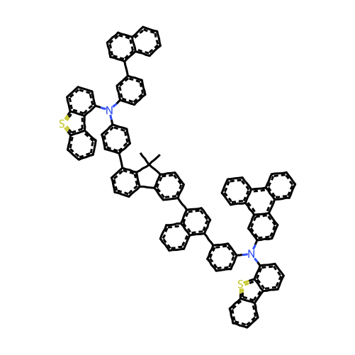 CC1(C)c2ccc(-c3ccc(-c4cccc(N(c5ccc6c7ccccc7c7ccccc7c6c5)c5cccc6c5sc5ccccc56)c4)c4ccccc34)cc2-c2cccc(-c3ccc(N(c4cccc(-c5cccc6ccccc56)c4)c4cccc5sc6ccccc6c45)cc3)c21